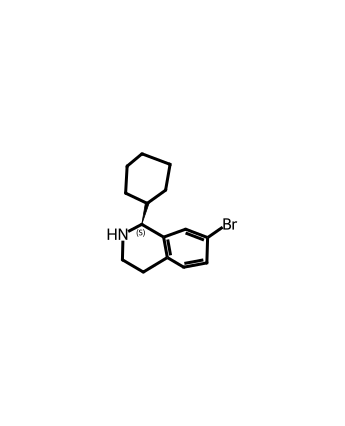 Brc1ccc2c(c1)[C@H](C1CCCCC1)NCC2